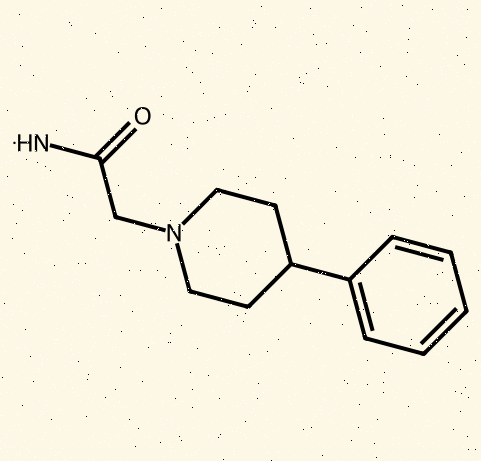 [NH]C(=O)CN1CCC(c2ccccc2)CC1